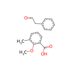 COc1c(C)cccc1C(=O)O.O=CCc1ccccc1